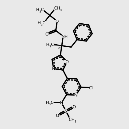 CN(c1cc(-c2ncc([C@@](C)(Cc3ccccc3)NC(=O)OC(C)(C)C)o2)cc(Cl)n1)S(C)(=O)=O